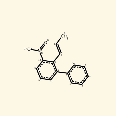 CC=Cc1c(-c2ccccc2)cccc1[N+](=O)[O-]